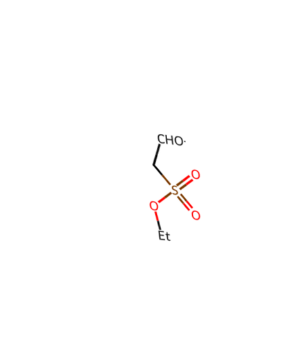 CCOS(=O)(=O)C[C]=O